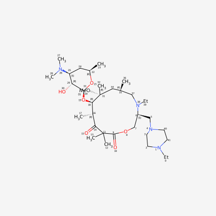 CCN1CCN(C[C@H]2COC(=O)C(C)(C)C(=O)[C@H](C)[C@@H](O[C@@H]3O[C@H](C)C[C@H](N(C)C)[C@H]3O)[C@](C)(OC)C[C@@H](C)CN2CC)CC1